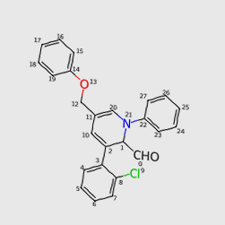 O=CC1C(c2ccccc2Cl)=CC(COc2ccccc2)=CN1c1ccccc1